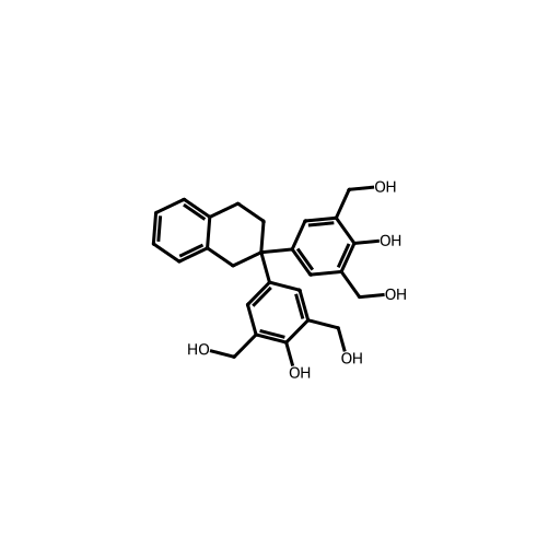 OCc1cc(C2(c3cc(CO)c(O)c(CO)c3)CCc3ccccc3C2)cc(CO)c1O